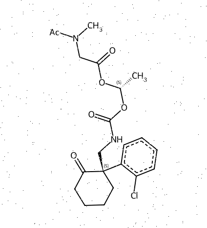 CC(=O)N(C)CC(=O)O[C@H](C)OC(=O)NC[C@@]1(c2ccccc2Cl)CCCCC1=O